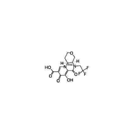 O=C(O)c1cn2c(c(O)c1=O)C(=O)N(CC(F)(F)F)[C@@H]1COCC[C@@H]12